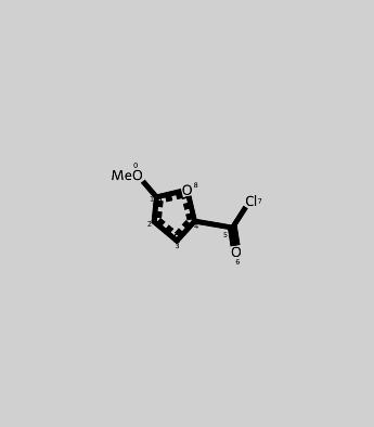 COc1ccc(C(=O)Cl)o1